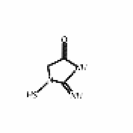 N=C1NC(=O)CN1S